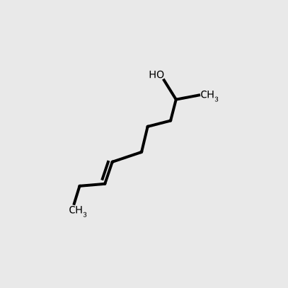 CCC=CCCCC(C)O